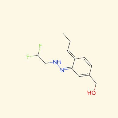 CC/C=C1\C=CC(CO)=C\C1=N\NCC(F)F